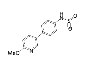 COc1ccc(-c2ccc(N[SH](=O)=O)cc2)cn1